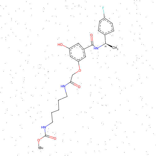 C[C@@H](NC(=O)c1cc(O)cc(OCC(=O)NCCCCCNC(=O)OC(C)(C)C)c1)c1ccc(F)cc1